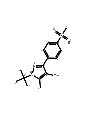 Cc1c(O)c(-c2ccc(S(C)(=O)=O)cc2)nn1C(C)(C)C